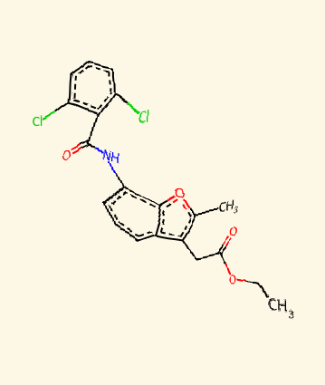 CCOC(=O)Cc1c(C)oc2c(NC(=O)c3c(Cl)cccc3Cl)cccc12